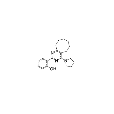 Oc1ccccc1-c1nc2c(c(N3CCCC3)n1)CCCCCC2